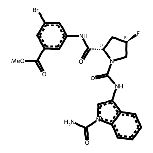 COC(=O)c1cc(Br)cc(NC(=O)[C@@H]2C[C@@H](F)CN2C(=O)Nc2cn(C(N)=O)c3ccccc23)c1